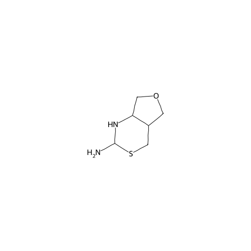 NC1NC2COCC2CS1